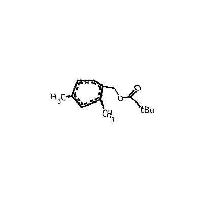 Cc1ccc(COC(=O)C(C)(C)C)c(C)c1